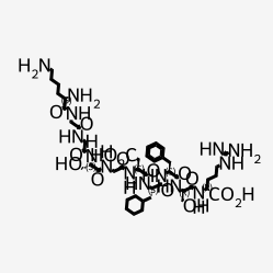 N=C(N)NCCC[C@@H](NC(=O)[C@@H](CO)NC(=O)[C@H](Cc1ccccc1)NC(=O)[C@H](CC1CCCCC1)NC(=O)[C@H](CC(=O)O)NC(=O)CNC(=O)[C@H](CO)NC(=O)CNC(=O)CNC(=O)[C@@H](N)CCCCN)C(=O)O